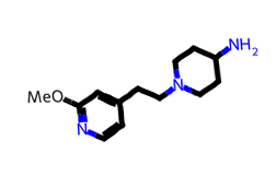 COc1cc(CCN2CCC(N)CC2)ccn1